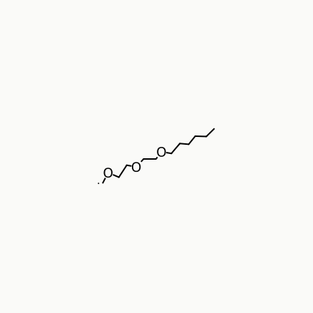 [CH2]OCCOCCOCCCCCC